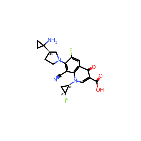 N#Cc1c(N2CC[C@@H](C3(N)CC3)C2)c(F)cc2c(=O)c(C(=O)O)cn([C@@H]3C[C@H]3F)c12